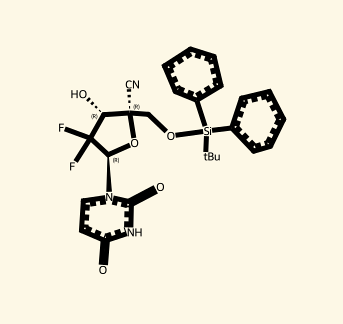 CC(C)(C)[Si](OC[C@@]1(C#N)O[C@@H](n2ccc(=O)[nH]c2=O)C(F)(F)[C@@H]1O)(c1ccccc1)c1ccccc1